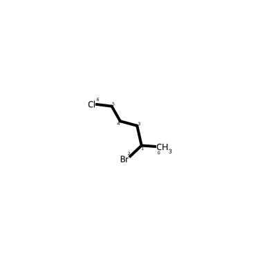 CC(Br)CCCCl